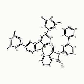 Cc1nc(C)nc(-c2ccc3c(c2)c2cc(-c4nc(C)nc(C)n4)ccc2n3-c2cccc3c2C(=O)N(c2cccc(-c4ccccc4)c2)C3=O)n1